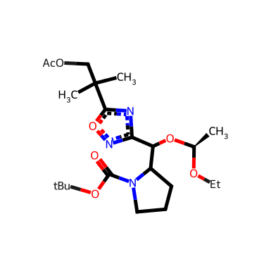 CCO[C@H](C)OC(c1noc(C(C)(C)COC(C)=O)n1)C1CCCN1C(=O)OC(C)(C)C